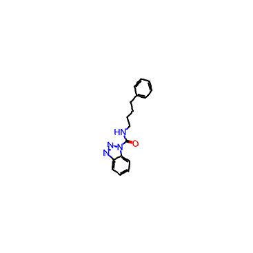 O=C(NCCCCc1ccccc1)n1nnc2ccccc21